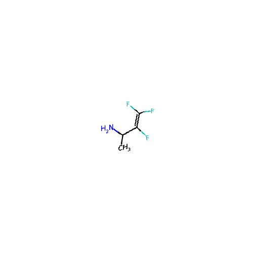 CC(N)C(F)=C(F)F